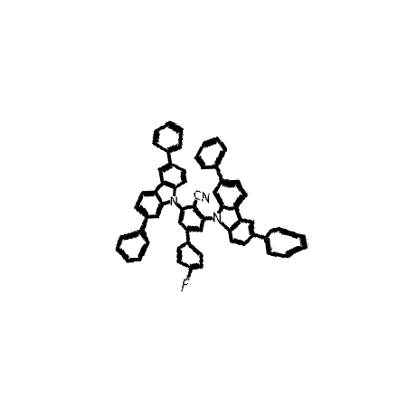 N#Cc1c(-n2c3ccc(-c4ccccc4)cc3c3ccc(-c4ccccc4)cc32)cc(-c2ccc(F)cc2)cc1-n1c2ccc(-c3ccccc3)cc2c2ccc(-c3ccccc3)cc21